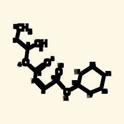 CCC(O)OC(=O)/C=C\C(=O)OC1CCCCC1